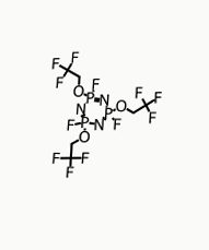 FC(F)(F)COP1(F)=NP(F)(OCC(F)(F)F)=NP(F)(OCC(F)(F)F)=N1